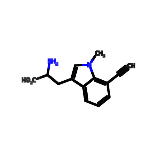 C#Cc1cccc2c(CC(N)C(=O)O)cn(C)c12